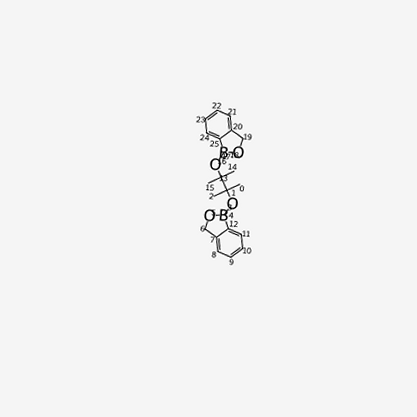 CC(C)(OB1OCc2ccccc21)C(C)(C)OB1OCc2ccccc21